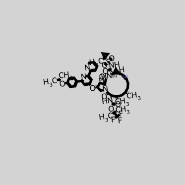 CC(C)Oc1ccc(-c2cc(O[C@@H]3C[C@H]4C(=O)N[C@]5(C(=O)NS(=O)(=O)C6(C)CC6)C[C@H]5/C=C\CC[C@H](C)C[C@@H](C)[C@H](NC(=O)OC(C)(C)C(F)(F)F)C(=O)N4C3)cc(-c3ccccn3)n2)cc1